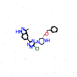 Cc1n[nH]c2ccc(-c3nnc(Cl)c(N4CCN[C@@H](COCc5ccccc5)C4)n3)cc12